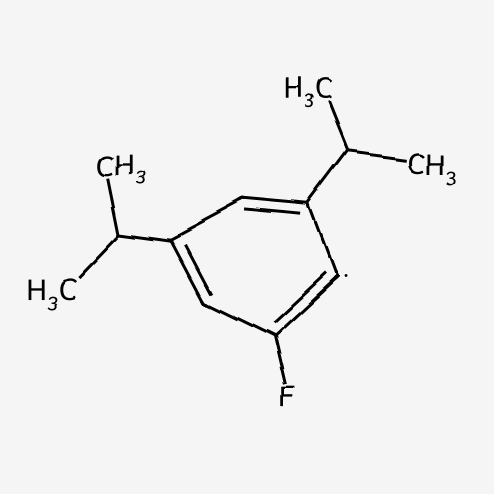 CC(C)c1[c]c(F)cc(C(C)C)c1